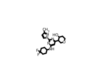 Cc1ccn(-c2nc(NC3CCC(F)(F)CC3)cc(C3COCCC3O)n2)n1